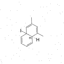 CC1=CC2(I)C=CC=C[C@@H]2C(C)=C1